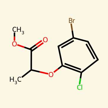 COC(=O)C(C)Oc1cc(Br)ccc1Cl